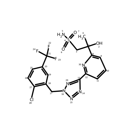 CC(O)(CS(N)(=O)=O)c1cccc(-c2nnn(Cc3cc(C(F)(F)F)ccc3Cl)n2)n1